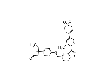 CCC1(c2ccc(OCc3ccc4scc(-c5ccc(C6=CCS(=O)(=O)CC6)cc5C)c4c3)cc2)CC(=O)C1